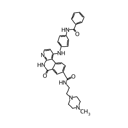 CN1CCN(CCNC(=O)c2ccc3c(c2)c(=O)[nH]c2nccc(Nc4ccc(NC(=O)c5ccccc5)cc4)c23)CC1